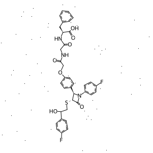 O=C(COc1ccc([C@@H]2[C@@H](SCC(O)c3ccc(F)cc3)C(=O)N2c2ccc(F)cc2)cc1)NCC(=O)N[C@@H](Cc1ccccc1)C(=O)O